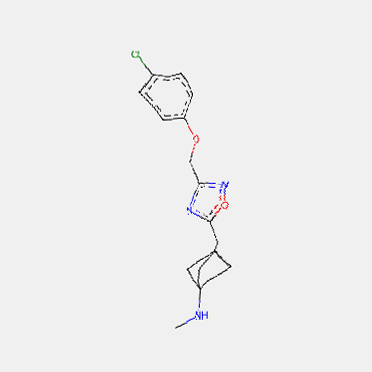 CNC12CC(c3nc(COc4ccc(Cl)cc4)no3)(C1)C2